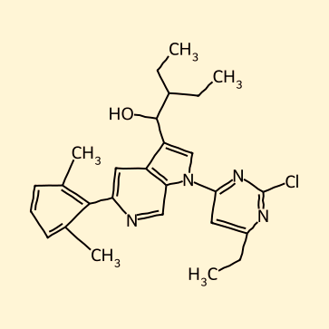 CCc1cc(-n2cc(C(O)C(CC)CC)c3cc(-c4c(C)cccc4C)ncc32)nc(Cl)n1